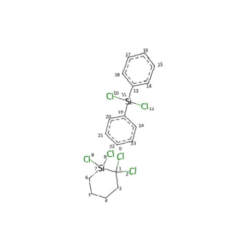 ClC1(Cl)CCCC[Si]1(Cl)Cl.Cl[Si](Cl)(c1ccccc1)c1ccccc1